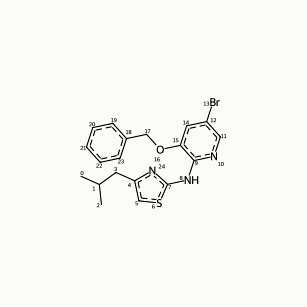 CC(C)Cc1csc(Nc2ncc(Br)cc2OCc2ccccc2)n1